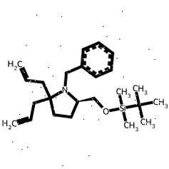 C=CCC1(CC=C)CC[C@H](CO[Si](C)(C)C(C)(C)C)N1Cc1ccccc1